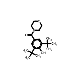 CC(C)(C)c1cc(C(=O)N2CCOCC2)cc(C(C)(C)C)c1O